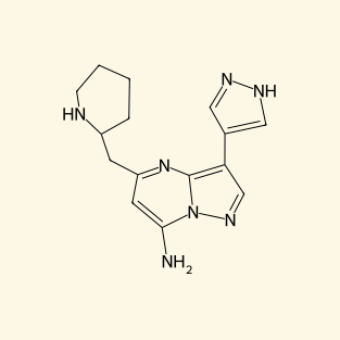 Nc1cc(CC2CCCCN2)nc2c(-c3cn[nH]c3)cnn12